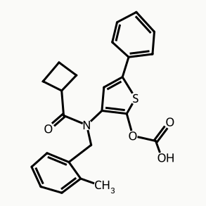 Cc1ccccc1CN(C(=O)C1CCC1)c1cc(-c2ccccc2)sc1OC(=O)O